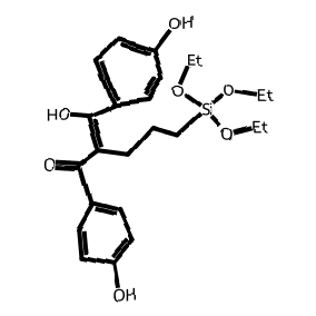 CCO[Si](CCC/C(C(=O)c1ccc(O)cc1)=C(/O)c1ccc(O)cc1)(OCC)OCC